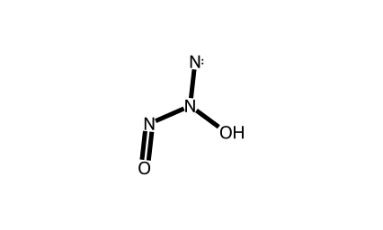 [N]N(O)N=O